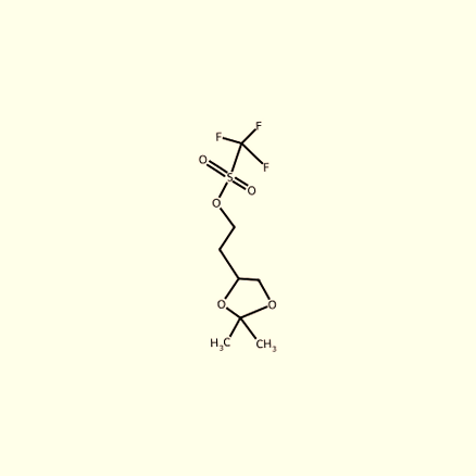 CC1(C)OCC(CCOS(=O)(=O)C(F)(F)F)O1